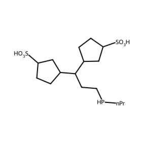 CCCPCCC(C1CCC(S(=O)(=O)O)C1)C1CCC(S(=O)(=O)O)C1